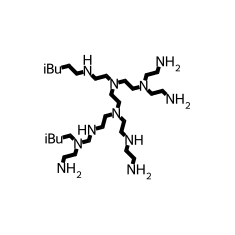 CCC(C)CCNCCN(CCN(CCN)CCN)CCN(CCNCCN)CCNCN(CCN)CC(C)CC